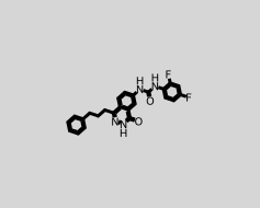 O=C(Nc1ccc2c(CCCc3ccccc3)n[nH]c(=O)c2c1)Nc1ccc(F)cc1F